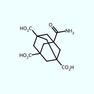 NC(=O)C12CC3(C(=O)O)CC(C(=O)O)(C1)CC(C(=O)O)(C2)C3